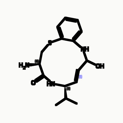 CC(C)[C@H]1/C=C/C(O)Nc2ccccc2SC[C@H](N)C(=O)N1